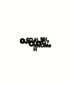 COc1nc(NC2CCC(N(Cc3ccccc3)C(=O)O)CC2)c(F)cc1C(N)=O